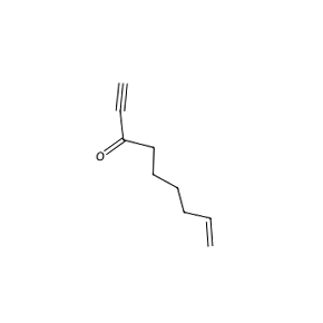 C#CC(=O)CCCCC=C